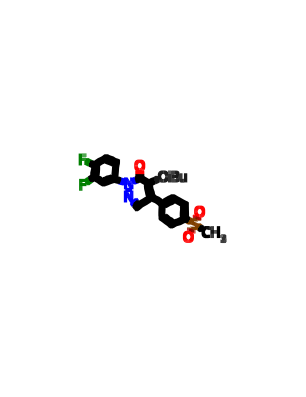 CC(C)COc1c(-c2ccc(S(C)(=O)=O)cc2)cnn(-c2ccc(F)c(F)c2)c1=O